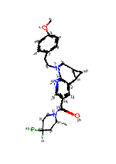 COc1ccc(CN2CC3CC3c3cc(C(=O)N4CCC(F)(F)CC4)cnc32)cc1